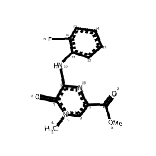 COC(=O)c1cn(C)c(=O)c(Nc2ccccc2F)n1